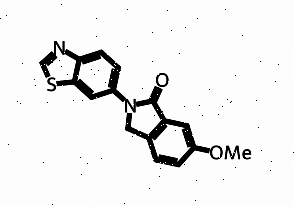 COc1ccc2c(c1)C(=O)N(c1ccc3ncsc3c1)C2